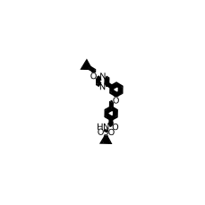 O=C(NS(=O)(=O)C1CC1)c1ccc(COc2cccc(-c3cnc(OCC4CC4)cn3)c2)cc1